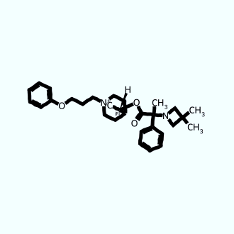 CC1(C)CN(C(C)(C(=O)O[C@H]2C[N+]3(CCCOc4ccccc4)CCC2CC3)c2ccccc2)C1